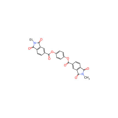 CCN1C(=O)c2ccc(C(=O)Oc3ccc(OC(=O)c4ccc5c(c4)C(=O)N(C)C5=O)cc3)cc2C1=O